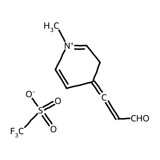 C[N+]1=CCC(=C=CC=O)C=C1.O=S(=O)([O-])C(F)(F)F